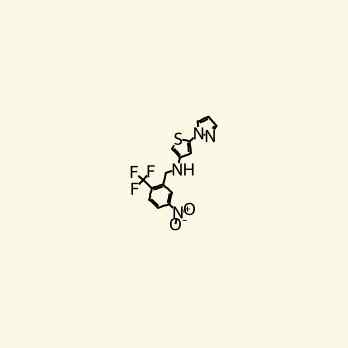 O=[N+]([O-])c1ccc(C(F)(F)F)c(CNc2csc(-n3cccn3)c2)c1